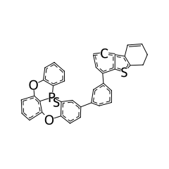 S=P12c3ccccc3Oc3cccc(c31)Oc1ccc(-c3cccc(-c4cccc5c6c(sc45)CCC=C6)c3)cc12